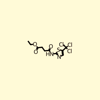 CCOC(=O)CCC(=O)Nc1ncc(C(Cl)(Cl)Cl)s1